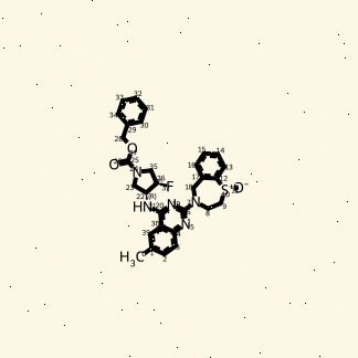 Cc1ccc2nc(N3CC[S+]([O-])c4ccccc4C3)nc(N[C@@H]3CN(C(=O)OCc4ccccc4)C[C@H]3F)c2c1